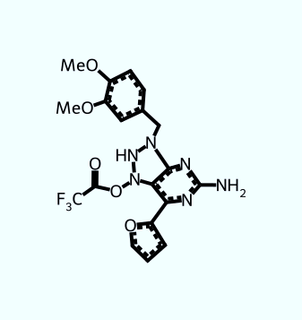 COc1ccc(CN2NN(OC(=O)C(F)(F)F)c3c(-c4ccco4)nc(N)nc32)cc1OC